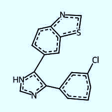 Clc1cccc(-c2nc[nH]c2-c2ccc3ncsc3c2)c1